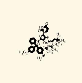 COc1ccc(C(OC[C@H]2O[C@@H](n3ccc(=O)[nH]c3=O)[C@@H](F)[C@H]2OP(OCCC(C)(C)C)N(C(C)C)C(C)C)(c2ccccc2)c2ccc(OC)cc2)cc1